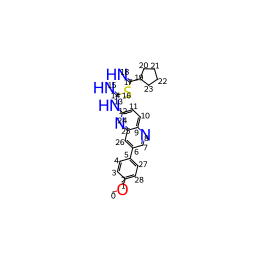 COc1ccc(-c2cnc3ccc(NC(=N)SC(=N)C4CCCC4)nc3c2)cc1